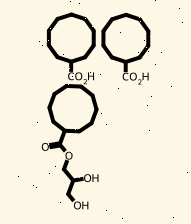 O=C(O)C1CCCCCCCCC1.O=C(O)C1CCCCCCCCC1.O=C(OCC(O)CO)C1CCCCCCCCC1